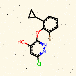 Oc1cc(Cl)nnc1Oc1c(Br)cccc1C1CC1